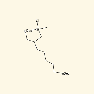 CCCCCCCCCCCCCCCC(CCCCCCCCCCC)C[Si](C)(C)Cl